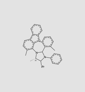 Cc1cccc(C)c1C1N(c2ccccc2)C(C(C)C)[C@H](C)N1c1c(C)ccc2c1oc1ccccc12